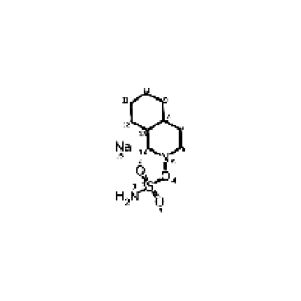 NS(=O)(=O)ON1CCC2CCCCC2C1.[Na]